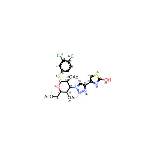 CC(=O)OCC1O[C@H](Sc2ccc(Cl)c(Cl)c2)C(OC(C)=O)C(n2cc(-c3csc(O)n3)nn2)[C@H]1OC(C)=O